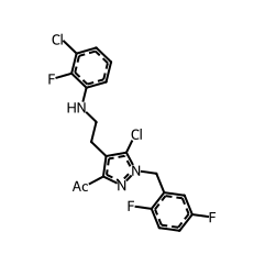 CC(=O)c1nn(Cc2cc(F)ccc2F)c(Cl)c1CCNc1cccc(Cl)c1F